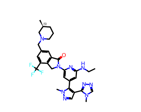 CCNc1cc(-c2c(-c3nncn3C)cnn2C)cc(N2Cc3c(cc(CN4CCC[C@H](C)C4)cc3C(F)(F)F)C2=O)n1